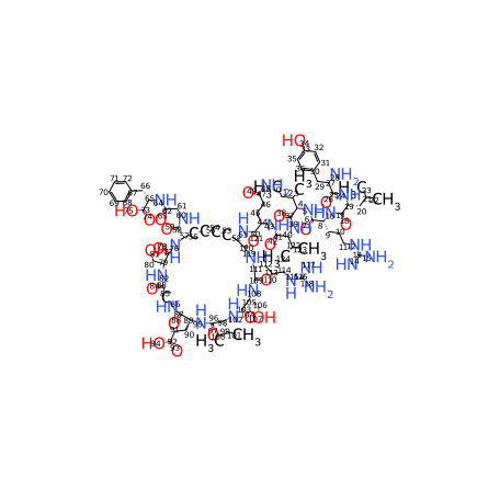 CCC(C)[C@@H](NC(=O)[C@@H](CCCNC(=N)N)NC(=O)[C@@H](CC(C)C)NC(=O)[C@@H](N)Cc1ccc(O)cc1)C(=O)N[C@@H](C(=O)N[C@H](CCC(N)=O)CN[C@@H]1CCCC[C@@H](C(=O)NCC(=O)N[C@@H](Cc2ccccc2)C(=O)O)NC(=O)C(CO)NC(=O)CNC(=O)[C@H](CCC(=O)O)NC(=O)[C@@H](C(C)C)NC(=O)[C@@H](CO)NC(=O)[C@@H](CCCNC(=N)N)NC1=O)C(C)C